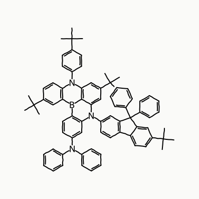 CC(C)(C)c1ccc(N2c3ccc(C(C)(C)C)cc3B3c4ccc(N(c5ccccc5)c5ccccc5)cc4N(c4ccc5c(c4)C(c4ccccc4)(c4ccccc4)c4cc(C(C)(C)C)ccc4-5)c4cc(C(C)(C)C)cc2c43)cc1